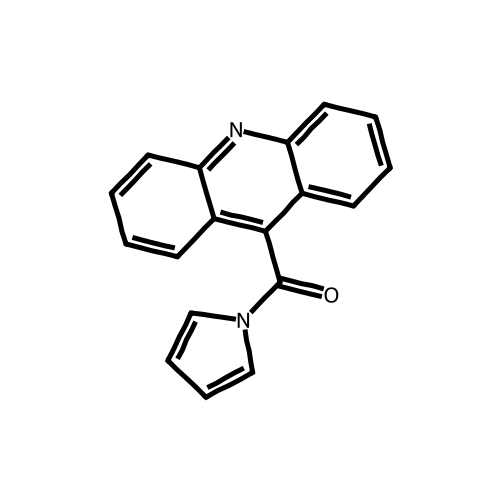 O=C(c1c2ccccc2nc2ccccc12)n1cccc1